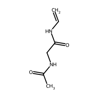 C=CNC(=O)CNC(C)=O